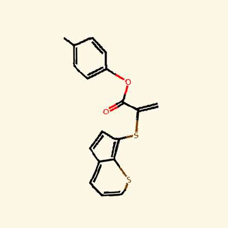 C=C(Sc1ccc2cccsc1-2)C(=O)Oc1ccc(C)cc1